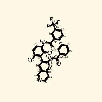 O=C(Nc1ccc(Cl)c(-c2cc3cnccc3nc2NC(=O)c2ccccc2)c1Cl)c1cccc(C(F)(F)F)c1